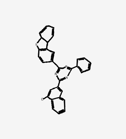 Clc1cc(-c2nc(-c3ccccc3)nc(-c3ccc4c(c3)C3C=CC=CC3S4)n2)cc2ccccc12